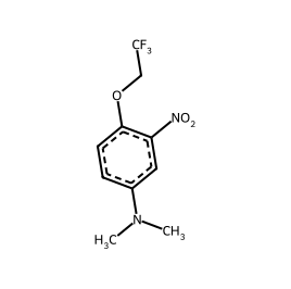 CN(C)c1ccc(OCC(F)(F)F)c([N+](=O)[O-])c1